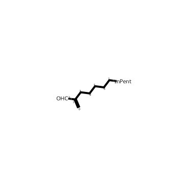 C=C(C=O)CCCCCCCCCC